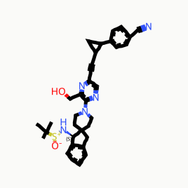 CC(C)(C)[S+]([O-])N[C@@H]1c2ccccc2CC12CCN(c1ncc(C#CC3CC3c3ccc(C#N)cc3)nc1CO)CC2